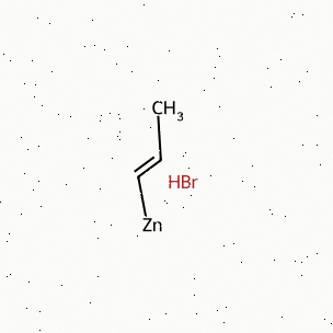 Br.CC=[CH][Zn]